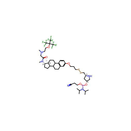 CC(C)N(C(C)C)P(OCCC#N)O[C@H]1CN[C@H](CSSCCCOc2ccc3c(c2)CCC2C3CC[C@@]3(C)C2CC[C@@H]3N(C)C(=O)CN(C)CCOC(C(F)(F)F)(C(F)(F)F)C(F)(F)F)C1